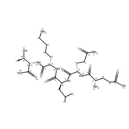 CC(C)C[C@H](NC(=O)[C@H](CCC(N)=O)NC(=O)[C@@H](N)CCC(=O)O)C(=O)N[C@@H](CCCCN)C(=O)N[C@H](C(=O)O)[C@@H](C)O